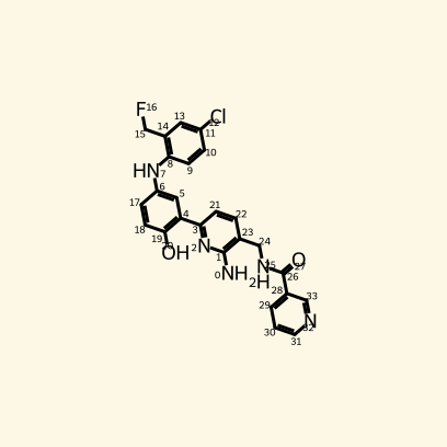 Nc1nc(-c2cc(Nc3ccc(Cl)cc3CF)ccc2O)ccc1CNC(=O)c1cccnc1